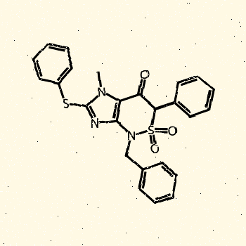 Cn1c(Sc2ccccc2)nc2c1C(=O)C(c1ccccc1)S(=O)(=O)N2Cc1ccccc1